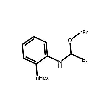 CCCCCCc1ccccc1NC(CC)OCCC